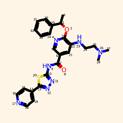 CC(Oc1ncc(C(=O)Nc2nnc(-c3ccncc3)s2)cc1NCCN(C)C)c1ccccc1